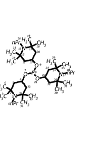 CCCN1C(C)(C)CC(OP(OC2CC(C)(C)N(CCC)C(C)(C)C2)OC2CC(C)(C)N(CCC)C(C)(C)C2)CC1(C)C